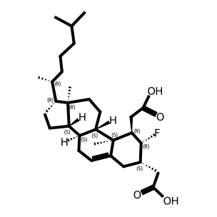 CC(C)CCC[C@@H](C)[C@H]1CC[C@H]2[C@@H]3CC=C4C[C@@H](CC(=O)O)[C@@H](F)[C@H](CC(=O)O)[C@]4(C)[C@H]3CC[C@]12C